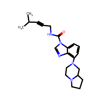 CC(C)C#CCNC(=O)n1cnc2c(N3CCN4CCCC4C3)cccc21